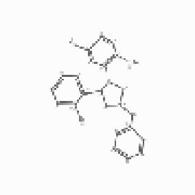 CC(=O)Oc1ccc(Cl)cc1[C@@H]1CN(Cc2ccccc2)C[C@H]1c1ccccc1Br